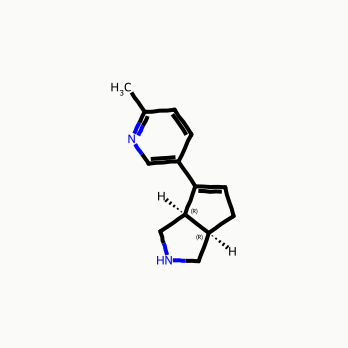 Cc1ccc(C2=CC[C@H]3CNC[C@@H]23)cn1